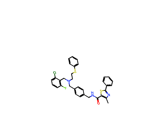 Cc1nc(-c2ccccc2)sc1C(=O)NCc1ccc(CN(CCSc2ccccc2)Cc2c(F)cccc2Cl)cc1